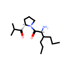 CCCC(CCC)[C@H](N)C(=O)N1CCC[C@H]1C(=O)C(C)C